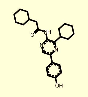 O=C(CC1CCCCC1)Nc1ncc(-c2ccc(O)cc2)nc1C1CCCCC1